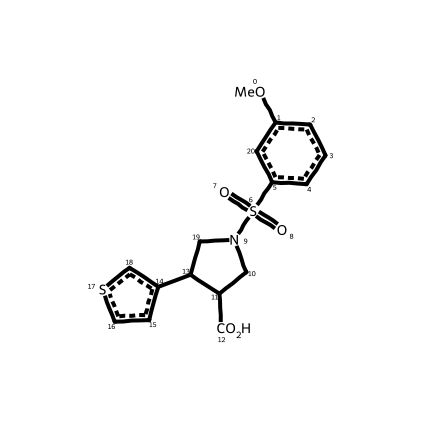 COc1cccc(S(=O)(=O)N2CC(C(=O)O)C(c3ccsc3)C2)c1